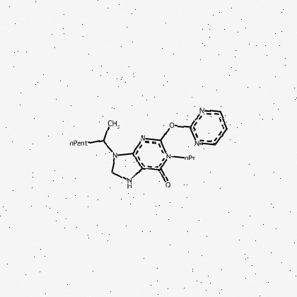 CCCCCC(C)N1CNc2c1nc(Oc1ncccn1)n(CCC)c2=O